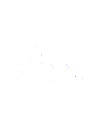 Cc1cn(C2O[C@@]3(CO)COC2C3OP(C)(O)=S)c(=O)nc1N